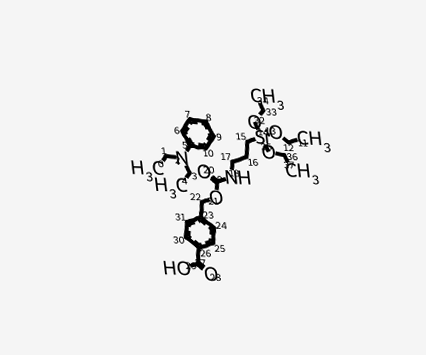 CCN(CC)c1ccccc1.CCO[Si](CCCNC(=O)OCc1ccc(C(=O)O)cc1)(OCC)OCC